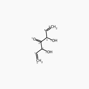 C=CC(O)C(=O)C(O)C=C